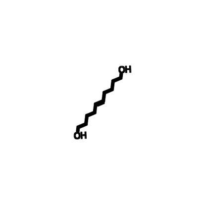 OCCCC/C=C/CCCCO